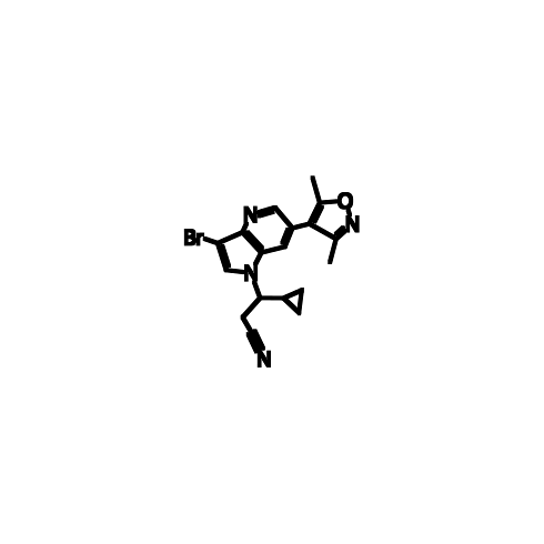 Cc1noc(C)c1-c1cnc2c(Br)cn(C(CC#N)C3CC3)c2c1